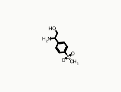 CS(=O)(=O)c1ccc(C(N)CO)cc1